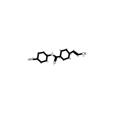 CCCC1CCC(OC(=O)C2CCC(/C=C/C#N)CC2)CC1